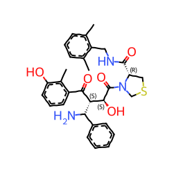 Cc1cccc(C)c1CNC(=O)[C@@H]1CSCN1C(=O)[C@@H](O)[C@@H](C(=O)c1cccc(O)c1C)C(N)c1ccccc1